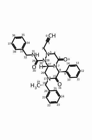 C#CCN1CC(=O)N2[C@@H](c3ccccc3)C(=O)N([C@@H](C)c3ccccc3)C[C@@H]2N1C(=O)NCc1ccccc1